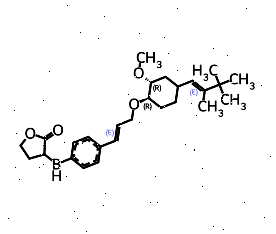 CO[C@@H]1CC(/C=C(\C)C(C)(C)C)CC[C@H]1OC/C=C/c1ccc(BC2CCOC2=O)cc1